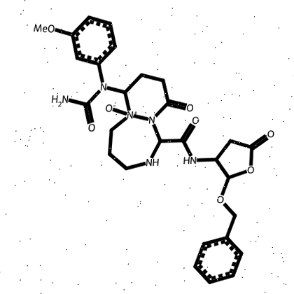 COc1cccc(N(C(N)=O)C2CCC(=O)N3C(C(=O)NC4CC(=O)OC4OCc4ccccc4)NCCC[N+]23[O-])c1